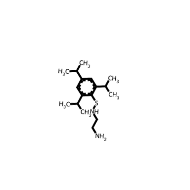 CC(C)c1cc(C(C)C)c(SNCCN)c(C(C)C)c1